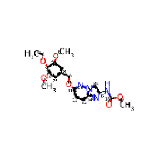 CCOc1c(OC)cc(COc2ccc3nc(NC(=O)OC)cn3n2)cc1OC